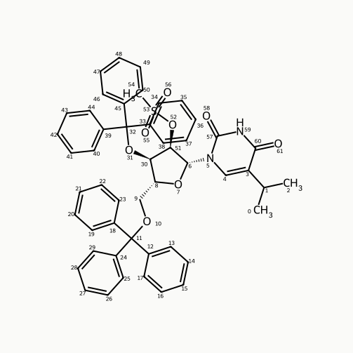 CC(C)c1cn([C@@H]2O[C@H](COC(c3ccccc3)(c3ccccc3)c3ccccc3)[C@@H](OC(c3ccccc3)(c3ccccc3)c3ccccc3)[C@H]2OS(C)(=O)=O)c(=O)[nH]c1=O